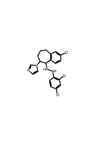 Clc1ccc(NNC2c3ccc(Cl)cc3CCCC2n2ccnc2)c(Cl)c1